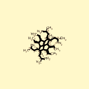 C/C=C1\C(=C/C)C([C@@H](C)CC[C@H](C)P)C2(C1[C@@H](C)CC[C@H](C)P)C([C@@H](C)CC[C@H](C)P)C(=C/C)/C(=C\C)C2[C@@H](C)CC[C@H](C)P